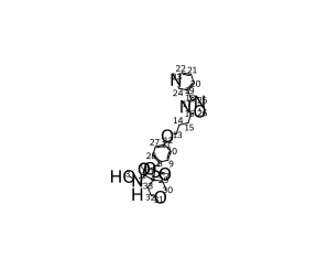 O=C(NO)C1(S(=O)(=O)c2ccc(OCCCc3nc(-c4cccnc4)no3)cc2)CCOCC1